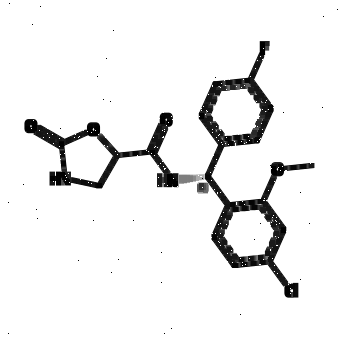 COc1cc(Cl)ccc1[C@H](NC(=O)C1CNC(=O)O1)c1ccc(F)cc1